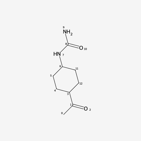 CC(=O)C1CCC(NC(N)=O)CC1